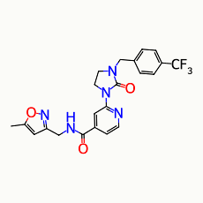 Cc1cc(CNC(=O)c2ccnc(N3CCN(Cc4ccc(C(F)(F)F)cc4)C3=O)c2)no1